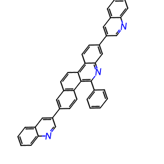 c1ccc(-c2nc3cc(-c4cnc5ccccc5c4)ccc3c3ccc4cc(-c5cnc6ccccc6c5)ccc4c23)cc1